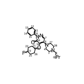 CC(C)CN1CCN(c2cnn(-c3ccccc3)c(=O)c2OC2CCC(F)CC2)CC1